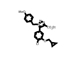 CCOC(=O)c1nnn(Cc2ccc(OC)cc2)c1-c1ccc(Cl)c(OCC2CC2)c1